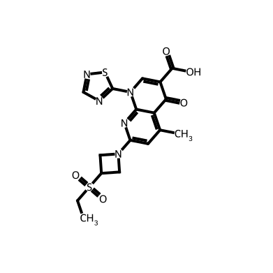 CCS(=O)(=O)C1CN(c2cc(C)c3c(=O)c(C(=O)O)cn(-c4ncns4)c3n2)C1